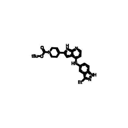 CCc1n[nH]c2ccc(Nc3ccnc4[nH]c(C5=CCN(C(=O)OC(C)(C)C)CC5)cc34)cc12